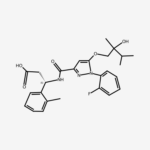 Cc1ccccc1[C@H](CC(=O)O)NC(=O)c1cc(OCC(C)(O)C(C)C)n(-c2ccccc2F)n1